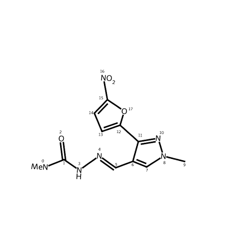 CNC(=O)NN=Cc1cn(C)nc1-c1ccc([N+](=O)[O-])o1